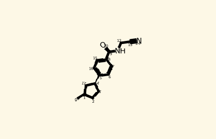 CC1CC[C@H](c2ccc(C(=O)NCC#N)cc2)C1